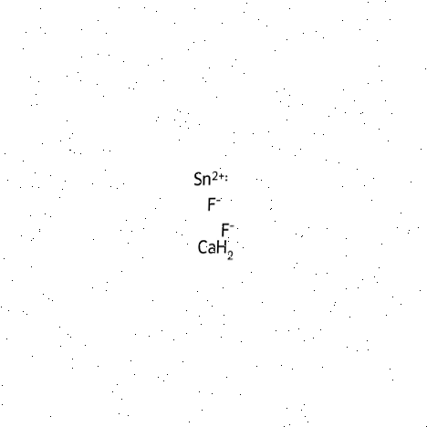 [CaH2].[F-].[F-].[Sn+2]